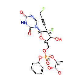 CC(C)OC(=O)[C@H](C)O[P@](=O)(OC[C@H]1O[C@@H](n2cnc(=O)[nH]c2=O)[C@@](F)(C#CCF)C1O)Oc1ccccc1